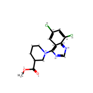 COC(=O)C1CCCN(c2ncnc3c(Cl)cc(Cl)cc23)C1